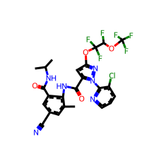 Cc1cc(C#N)cc(C(=O)NC(C)C)c1NC(=O)c1cc(OC(F)(F)C(F)OC(F)(F)F)nn1-c1ncccc1Cl